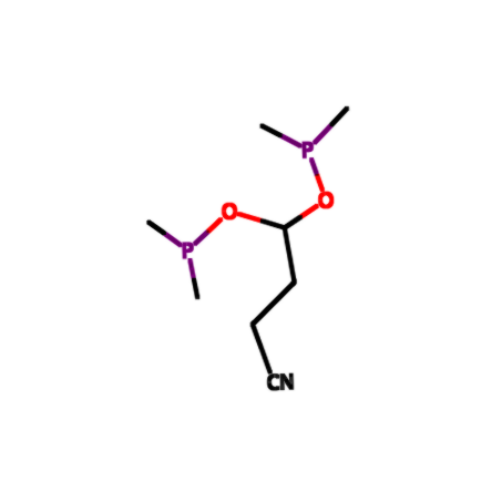 CP(C)OC(CCC#N)OP(C)C